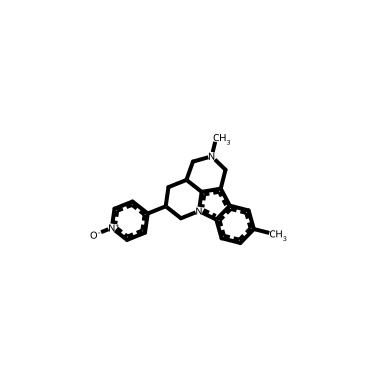 Cc1ccc2c(c1)c1c3n2CC(c2cc[n+]([O-])cc2)CC3CN(C)C1